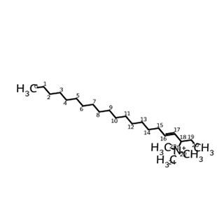 CCCCCCCCCCCCCCCCC=CC(CC)[N+](C)(C)C